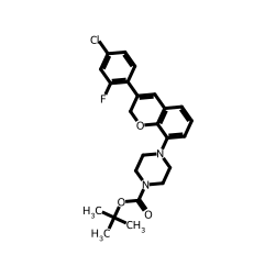 CC(C)(C)OC(=O)N1CCN(c2cccc3c2OCC(c2ccc(Cl)cc2F)=C3)CC1